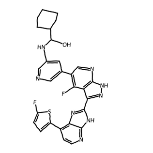 OC(Nc1cncc(-c2cnc3[nH]nc(-c4nc5c(-c6ccc(F)s6)ccnc5[nH]4)c3c2F)c1)C1CCCCC1